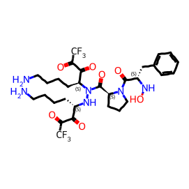 NCCCC[C@H](NN(C(=O)[C@@H]1CCCN1C(=O)[C@H](Cc1ccccc1)NO)[C@@H](CCCCN)C(=O)C(=O)C(F)(F)F)C(=O)C(=O)C(F)(F)F